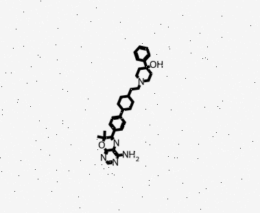 CC1(C)Oc2ncnc(N)c2N=C1c1ccc(C2CCC(CCN3CCC(O)(c4ccccc4)CC3)CC2)cc1